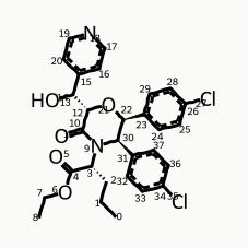 CCC[C@H](C(=O)OCC)N1C(=O)[C@H](C(O)c2ccncc2)O[C@@H](c2ccc(Cl)cc2)[C@H]1c1ccc(Cl)cc1